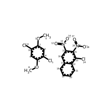 COc1cc(Cl)c(OC)cc1Cl.O=[N+]([O-])c1cc2ccccc2c(Cl)c1[N+](=O)[O-]